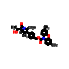 CC(=O)Oc1ccc2c(c1)Oc1cc(C)ccc1N2C(=O)OCc1ccc(C2C(C(=O)O)N3C(=O)[C@H]([C@@H](C)O)[C@H]3[C@H]2C)cc1